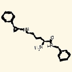 NC(CCCCNC1CC1c1ccccc1)C(=O)NCc1ccccc1